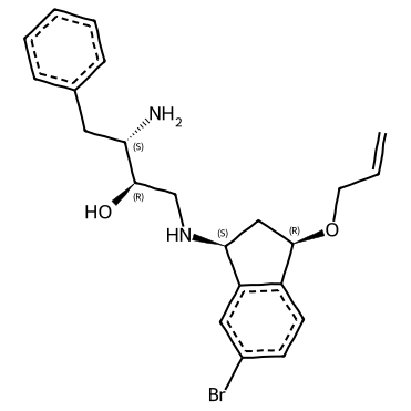 C=CCO[C@@H]1C[C@H](NC[C@@H](O)[C@@H](N)Cc2ccccc2)c2cc(Br)ccc21